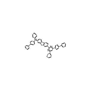 C1=CCCC(c2cc(-c3ccc(-c4ccccc4)cc3)nc(-c3ccc4c(c3)Cc3cc(N(c5ccccc5)c5ccc(-c6ccccc6)cc5)ccc3-4)n2)=C1